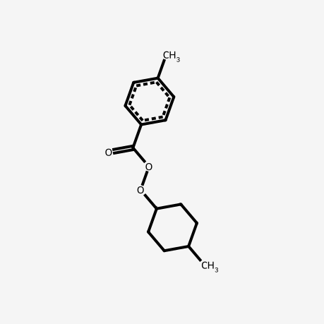 Cc1ccc(C(=O)OO[C]2CCC(C)CC2)cc1